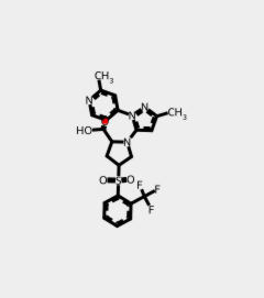 Cc1cc(-n2nc(C)cc2N2CC(S(=O)(=O)c3ccccc3C(F)(F)F)CC2C(=O)O)ccn1